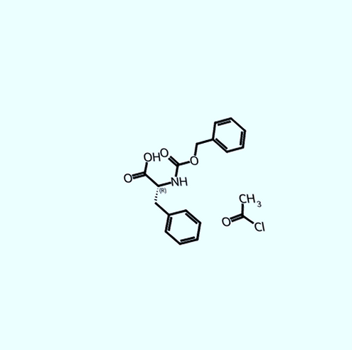 CC(=O)Cl.O=C(N[C@H](Cc1ccccc1)C(=O)O)OCc1ccccc1